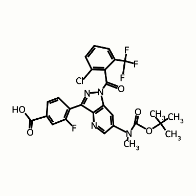 CN(C(=O)OC(C)(C)C)c1cnc2c(-c3ccc(C(=O)O)cc3F)nn(C(=O)c3c(Cl)cccc3C(F)(F)F)c2c1